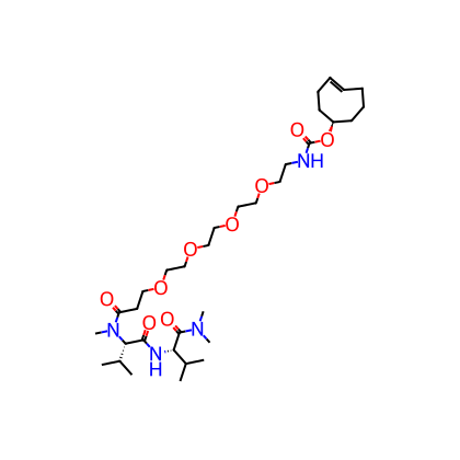 CC(C)[C@H](NC(=O)[C@H](C(C)C)N(C)C(=O)CCOCCOCCOCCOCCNC(=O)O[C@H]1CC/C=C/CCC1)C(=O)N(C)C